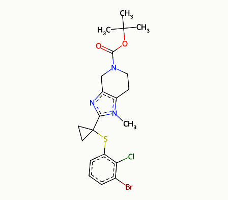 Cn1c(C2(Sc3cccc(Br)c3Cl)CC2)nc2c1CCN(C(=O)OC(C)(C)C)C2